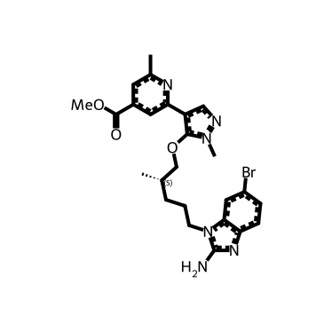 COC(=O)c1cc(C)nc(-c2cnn(C)c2OC[C@@H](C)CCCn2c(N)nc3ccc(Br)cc32)c1